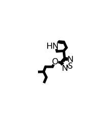 CCC(C)CCOc1nsnc1C1CC=CNC1